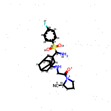 N#C[C@@H]1CCCN1C(=O)CNC12CC3CC(C1)CC(C(N)S(=O)(=O)c1ccc(F)cc1)(C3)C2